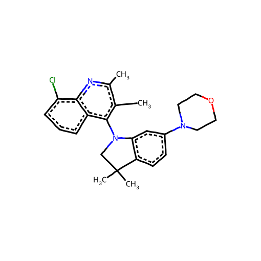 Cc1nc2c(Cl)cccc2c(N2CC(C)(C)c3ccc(N4CCOCC4)cc32)c1C